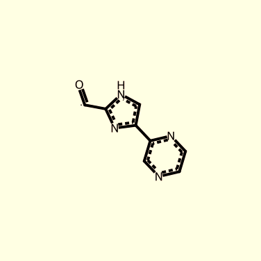 O=[C]c1nc(-c2cnccn2)c[nH]1